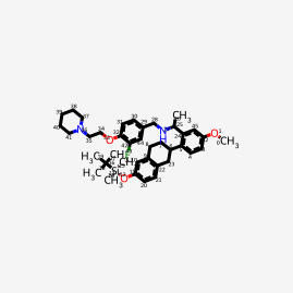 COc1ccc(C2CCc3cc(O[Si](C)(C)C(C)(C)C)ccc3C2)c(C(C)NCc2ccc(OCCN3CCCCC3)c(F)c2)c1